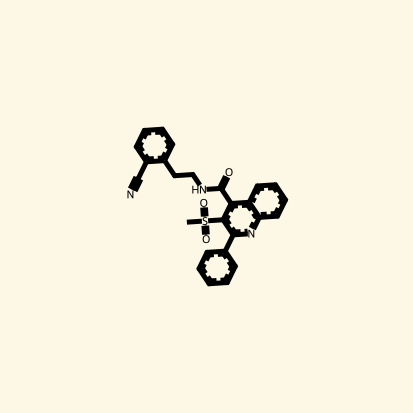 CS(=O)(=O)c1c(-c2ccccc2)nc2ccccc2c1C(=O)NCCc1ccccc1C#N